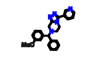 COc1cccc(C(c2ccccc2)N2CCn3c(nnc3-c3cccnc3)C2)c1